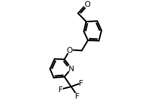 O=Cc1cccc(COc2cccc(C(F)(F)F)n2)c1